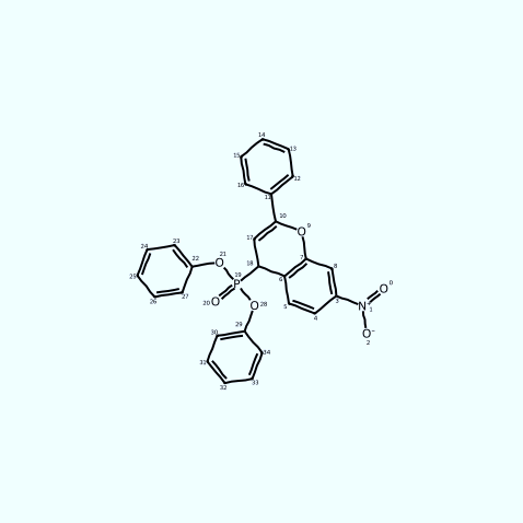 O=[N+]([O-])c1ccc2c(c1)OC(c1ccccc1)=CC2P(=O)(Oc1ccccc1)Oc1ccccc1